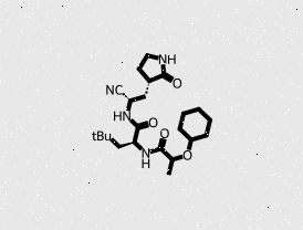 CC(OC1CCCCC1)C(=O)N[C@@H](CC(C)(C)C)C(=O)N[C@H](C#N)C[C@@H]1CCNC1=O